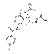 NN[C@@H](N)C[C@@](NC(N)=O)(c1cc(NC(=O)c2ccc(Cl)cn2)ccc1F)C(F)F